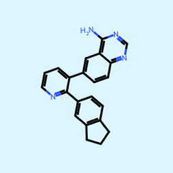 Nc1ncnc2ccc(-c3cccnc3-c3ccc4c(c3)CCC4)cc12